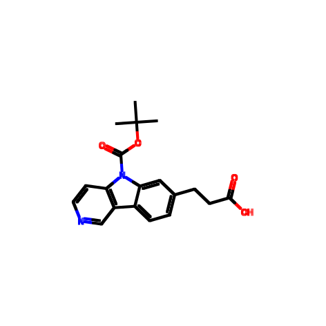 CC(C)(C)OC(=O)n1c2ccncc2c2ccc(CCC(=O)O)cc21